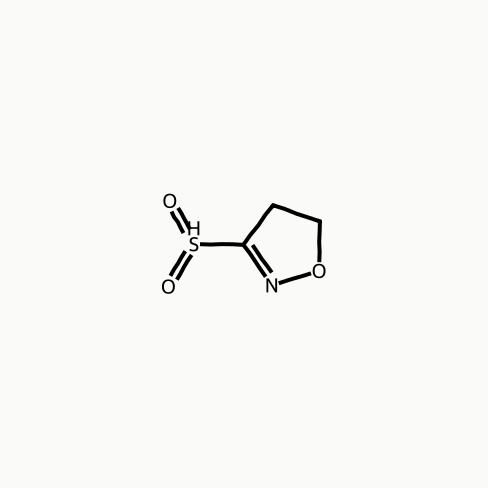 O=[SH](=O)C1=NOCC1